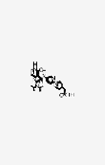 CC(C)N(c1nc(Nc2ccc(N3CCC(CC(=O)O)CC3)nc2)c2c(=O)[nH]ncc2n1)C(C)C